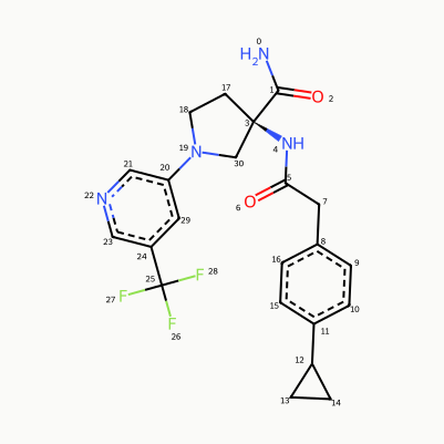 NC(=O)[C@@]1(NC(=O)Cc2ccc(C3CC3)cc2)CCN(c2cncc(C(F)(F)F)c2)C1